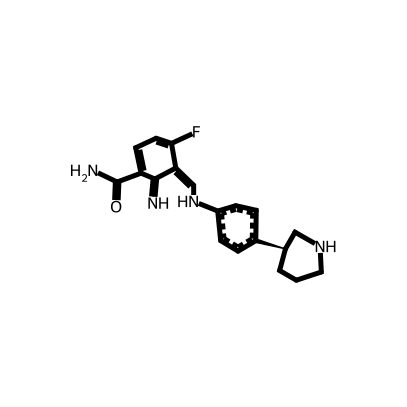 N=C1C(C(N)=O)=CC=C(F)/C1=C/Nc1ccc([C@@H]2CCCNC2)cc1